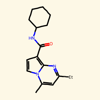 CCc1cc(C)n2ccc(C(=O)NC3CCCCC3)c2n1